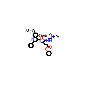 COc1cc(OC)c2c(C(=O)NC(CCC(=O)OC3CCCCC3)C(=O)NCCN(C(C)C)C(C)C)cc(-c3ccccc3)nc2c1